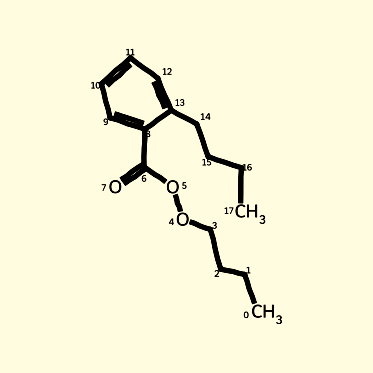 CCCCOOC(=O)c1ccccc1CCCC